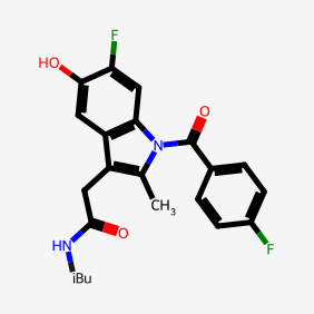 CCC(C)NC(=O)Cc1c(C)n(C(=O)c2ccc(F)cc2)c2cc(F)c(O)cc12